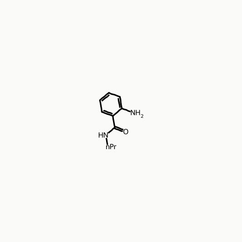 CCCNC(=O)c1ccccc1N